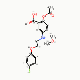 CC(=O)Oc1ccc(NCCOc2ccc(F)cc2)cc1C(=O)O.COC